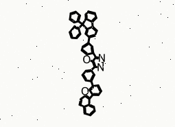 c1ccc(C2(c3ccccc3)c3ccccc3-c3ccc(-c4ccc5oc6c(-c7cccc(-c8cccc9c8oc8ccc%10ccccc%10c89)c7)ncnc6c5c4)cc32)cc1